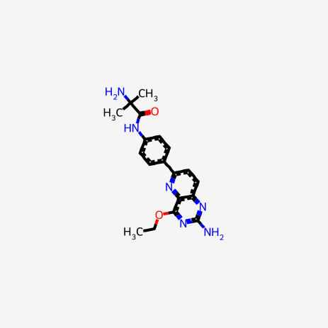 CCOc1nc(N)nc2ccc(-c3ccc(NC(=O)C(C)(C)N)cc3)nc12